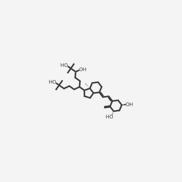 C=C1/C(=C\C=C2/CCC[C@@]3(C)C2CCC3C(CCCC(C)(C)O)CCC(O)C(C)(C)O)C[C@@H](O)C[C@@H]1O